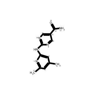 Cc1cc(C)nc(Nc2ncc(C(N)=O)cn2)c1